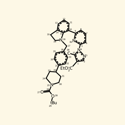 CCOC(=O)c1cnn(-c2cccc(-c3cccc4c3N(Cc3ccc(C5CCN(C(=O)OC(C)(C)C)CC5)cc3)CC4)n2)c1C(F)(F)F